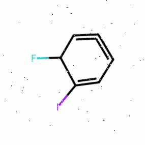 FC1C=C=CC=C1I